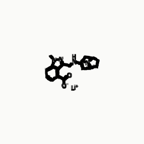 CN1C2CCC1CC(NCc1nn(C)c3cccc(C(=O)[O-])c13)C2.[Li+]